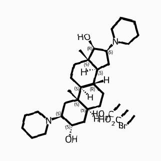 CBr.CC(=O)O.CC(=O)O.C[C@]12C[C@H](N3CCCCC3)[C@@H](O)C[C@@H]1CC[C@@H]1[C@@H]2CC[C@]2(C)[C@@H](O)[C@@H](N3CCCCC3)C[C@@H]12